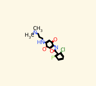 CN(C)CCCNC1=CC(=O)c2nc(-c3c(F)cccc3Cl)oc2C1=O